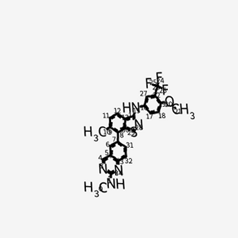 CNc1ncc2cc(-c3c(C)ccc4c(Nc5ccc(OC)c(C(F)(F)F)c5)nsc34)ccc2n1